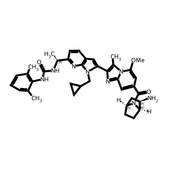 COc1cc(C(=O)N2[C@H]3CC[C@@H]2[C@H](N)C3)cc2nc(-c3cc4ccc([C@@H](C)NC(=O)Nc5c(C)cccc5C)nc4n3CC3CC3)c(C)n12